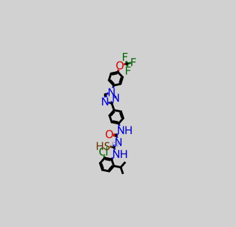 CC(C)c1cccc(Cl)c1N/C(S)=N/C(=O)Nc1ccc(-c2ncn(-c3ccc(OC(F)(F)F)cc3)n2)cc1